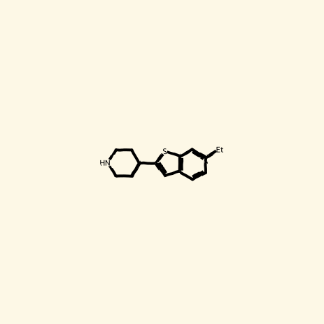 CCc1ccc2cc(C3CCNCC3)sc2c1